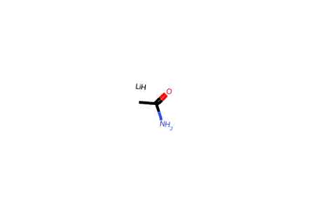 CC(N)=O.[LiH]